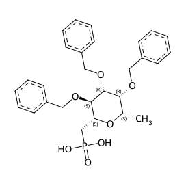 C[C@@H]1O[C@H](CP(=O)(O)O)[C@@H](OCc2ccccc2)[C@H](OCc2ccccc2)[C@@H]1OCc1ccccc1